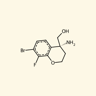 N[C@]1(CO)CCOc2c1ccc(Br)c2F